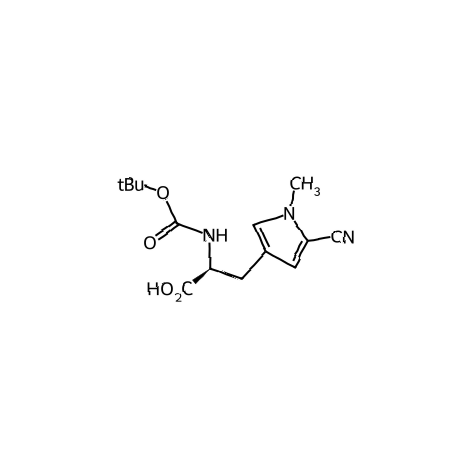 Cn1cc(C[C@H](NC(=O)OC(C)(C)C)C(=O)O)cc1C#N